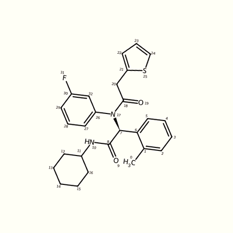 Cc1ccccc1[C@@H](C(=O)NC1CCCCC1)N(C(=O)Cc1cccs1)c1cccc(F)c1